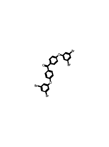 O=C(c1ccc(Oc2cc(Br)cc(Br)c2)cc1)c1ccc(Oc2cc(Br)cc(Br)c2)cc1